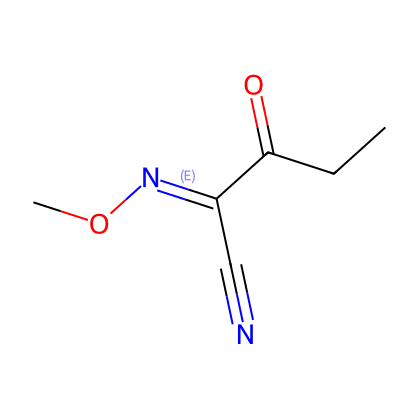 CCC(=O)/C(C#N)=N/OC